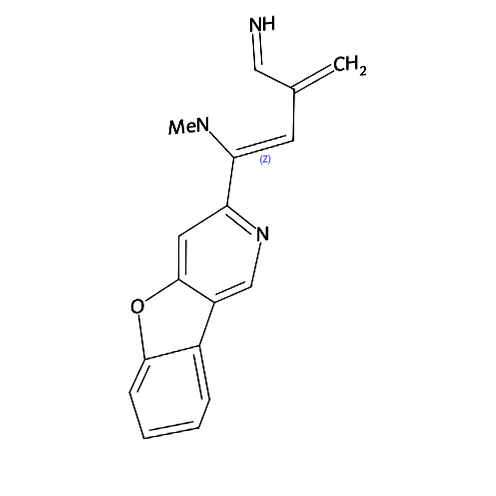 C=C(C=N)/C=C(\NC)c1cc2oc3ccccc3c2cn1